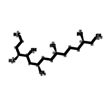 CCC[C@@H](C)[C@@H](O)C[C@@H](C)CC[C@H](O)CCC[C@H](O)CC